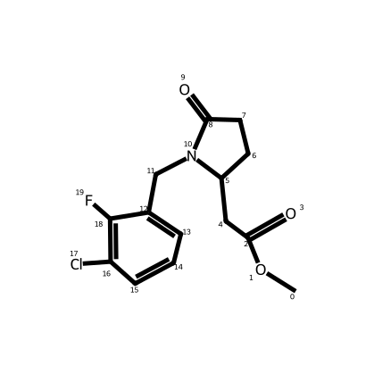 COC(=O)CC1CCC(=O)N1Cc1cccc(Cl)c1F